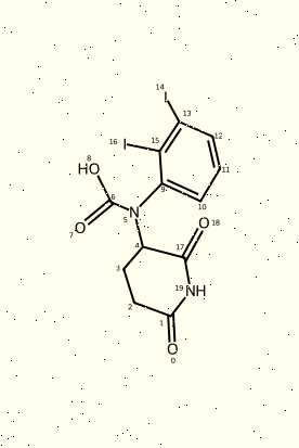 O=C1CCC(N(C(=O)O)c2cccc(I)c2I)C(=O)N1